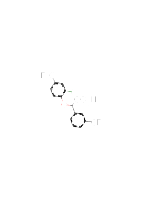 O=C(O)C(Oc1ccc(C(F)(F)F)cc1Cl)c1cccc(C(F)(F)F)c1